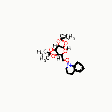 CC1(C)OC2[C@H](OC(CON3CCCc4ccccc43)[C@@H]3OC(C)(C)O[C@H]23)O1